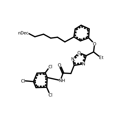 CCCCCCCCCCCCCCCc1cccc(OC(CC)c2nc(CC(=O)Nc3c(Cl)cc(Cl)cc3Cl)no2)c1